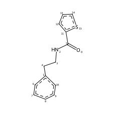 O=C(NCCc1ccccc1)c1cccs1